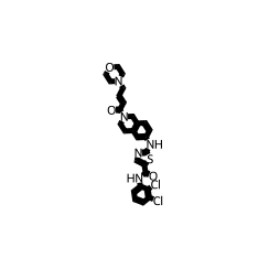 O=C(Nc1cccc(Cl)c1Cl)c1cnc(Nc2ccc3c(c2)CCN(C(=O)/C=C/CN2CCOCC2)C3)s1